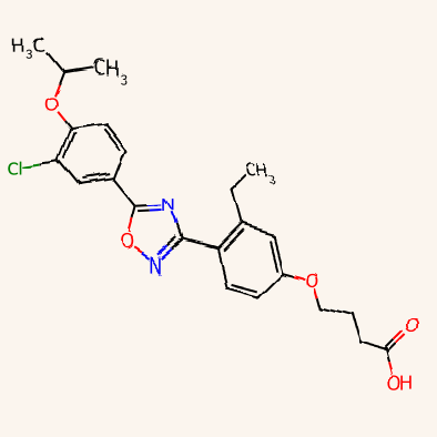 CCc1cc(OCCCC(=O)O)ccc1-c1noc(-c2ccc(OC(C)C)c(Cl)c2)n1